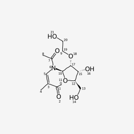 CC(=O)/C(C)=C\N(C(C)=O)[C@@H]1O[C@H](CO)[C@@H](O)[C@H]1OCCO